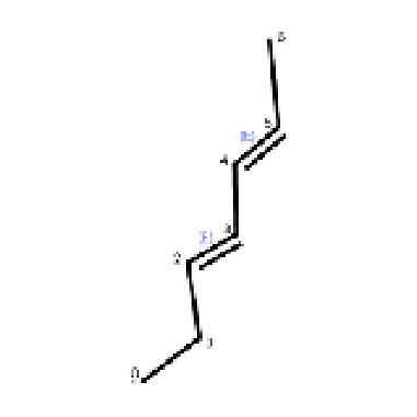 [CH2]C/C=C/C=C/C